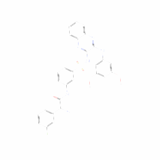 COc1cc(Nc2nc3ccccc3nc2NS(=O)(=O)c2cccc(NC(=O)C(N)c3cccc(F)c3)c2)cc(OC)c1